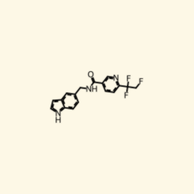 O=C(NCc1ccc2[nH]ccc2c1)c1ccc(C(F)(F)CF)nc1